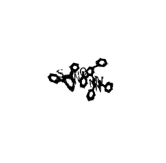 c1ccc(-c2cc(-c3nc(-c4ccccc4)nc(-c4ccccc4)n3)c3c(c2)oc2c(-n4c5ccccc5c5c6sc7ccccc7c6ccc54)cccc23)cc1